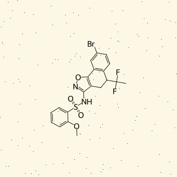 COc1ccccc1S(=O)(=O)Nc1noc2c1CC(C(C)(F)F)c1ccc(Br)cc1-2